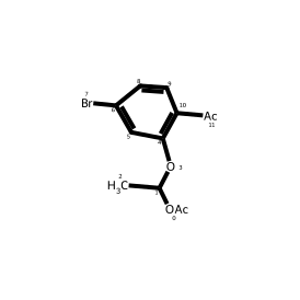 CC(=O)OC(C)Oc1cc(Br)ccc1C(C)=O